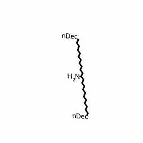 CCCCCCCCCCCCCCCCCCCCCC(N)CCCCCCCCCCCCCCCCCCCCC